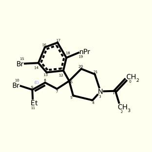 C=C(C)N1CCC(C/C=C(/Br)CC)(c2cc(Br)ccc2CCC)CC1